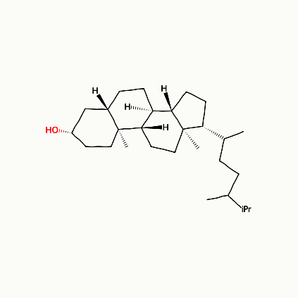 CC(C)C(C)CCC(C)[C@H]1CC[C@H]2[C@@H]3CC[C@H]4C[C@@H](O)CC[C@]4(C)[C@H]3CC[C@]12C